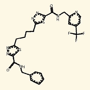 O=C(NCc1ccccc1)c1nnc(CCCCc2nnc(C(=O)NCc3cc(C(F)(F)F)ccn3)s2)s1